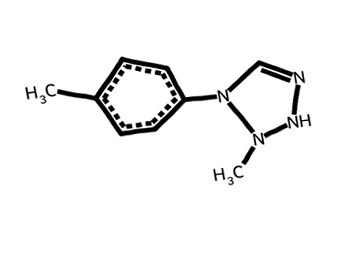 Cc1ccc(N2C=NNN2C)cc1